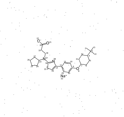 CC(C)(C)C1CCC(Oc2ccc(-c3csc(N(CCC(=O)[O-])C4CCCC4)n3)cc2)CC1.[Na+]